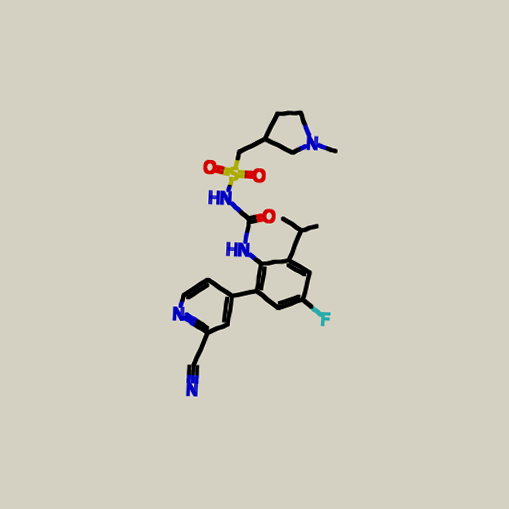 CC(C)c1cc(F)cc(-c2ccnc(C#N)c2)c1NC(=O)NS(=O)(=O)CC1CCN(C)C1